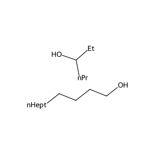 CCCC(O)CC.CCCCCCCCCCCO